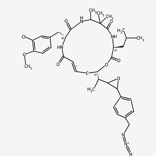 COc1ccc(C[C@H]2NC(=O)/C=C/C[C@@H](C(C)C3OC3c3ccc(CN=[N+]=[N-])cc3)OC(=O)[C@H](CC(C)C)NC(=O)C(C)(C)C(C)NC2=O)cc1Cl